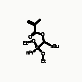 C=C(C)C(=O)OC(CCCC)[Si](CCC)(OCC)OCC